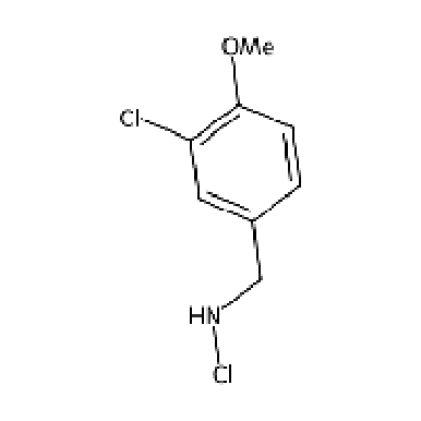 COc1ccc(CNCl)cc1Cl